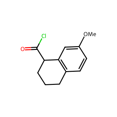 COc1ccc2c(c1)C(C(=O)Cl)CCC2